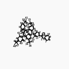 Cc1cc(-c2cc3ccccc3o2)cc(C)c1N1c2ccc(C(C)(C)C)cc2B2c3c1cc(C(C)(C)C)cc3N(c1c(C)cc(C(C)(C)C)cc1C)c1sc3ccc(C(C)(C)C)cc3c12